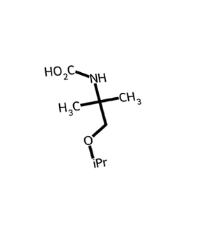 CC(C)OCC(C)(C)NC(=O)O